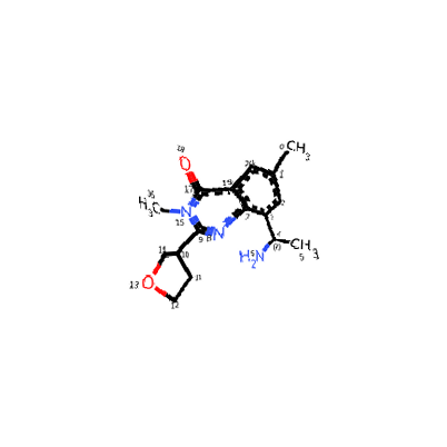 Cc1cc([C@@H](C)N)c2nc(C3CCOC3)n(C)c(=O)c2c1